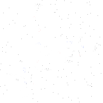 COCCOCCOCCNc1cc(COc2cc3c(cc2OC)C(=O)N2c4ccccc4C[C@H]2CN3)cc(COc2cc3c(cc2OC)C(=O)N2c4ccccc4C[C@H]2C(S(=O)(=O)O)N3)c1